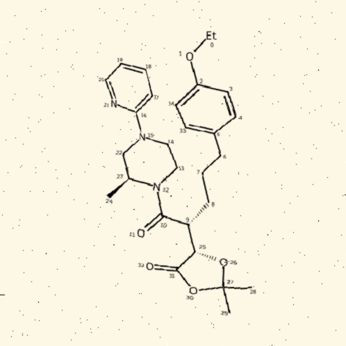 CCOc1ccc(CCC[C@@H](C(=O)N2CCN(c3ccccn3)C[C@@H]2C)[C@@H]2OC(C)(C)OC2=O)cc1